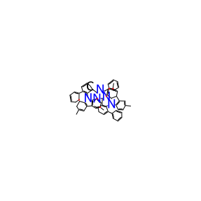 CC1=CC2c3cc(C)ccc3N(C3=C(C4N=C(c5ccccc5)N=C(C5CC=CC(C6=CC=CCC6)=C5n5c6c(c7cc(C)ccc75)C=C(C)CC6)N4C)C(C)CC=C3c3ccccc3)C2C=C1